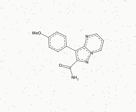 COc1ccc(-c2c(C(N)=O)nn3cccnc23)cc1